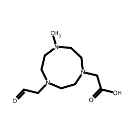 CN1CCN(CC=O)CCN(CC(=O)O)CC1